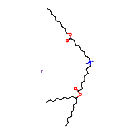 CCCCCCCCCOC(=O)CCCCCCC[N+](C)(C)CCCCCCCC(=O)OC(CCCCCCCC)CCCCCCCC.[I-]